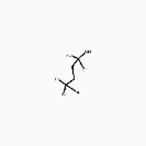 OC(O)(O)CCC(Br)(Br)Br